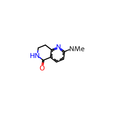 CNc1ccc2c(n1)CCNC2=O